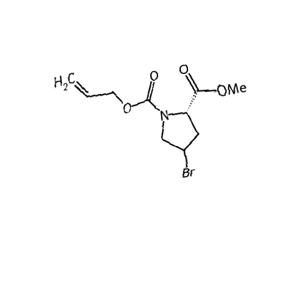 C=CCOC(=O)N1CC(Br)C[C@H]1C(=O)OC